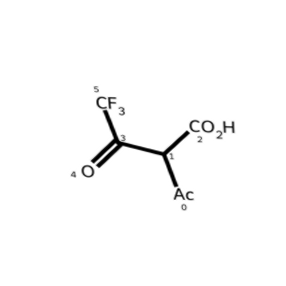 CC(=O)C(C(=O)O)C(=O)C(F)(F)F